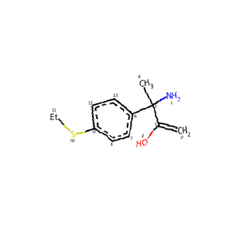 C=C(O)C(C)(N)c1ccc(SCC)cc1